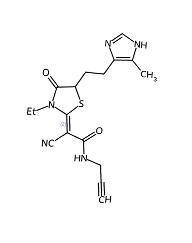 C#CCNC(=O)/C(C#N)=C1\SC(CCc2nc[nH]c2C)C(=O)N1CC